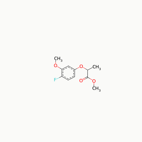 COC(=O)C(C)Oc1ccc(F)c(OC)c1